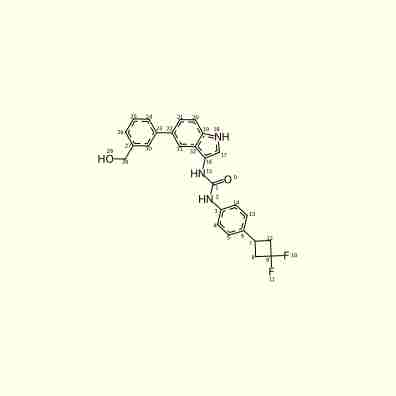 O=C(Nc1ccc(C2CC(F)(F)C2)cc1)Nc1c[nH]c2ccc(-c3cccc(CO)c3)cc12